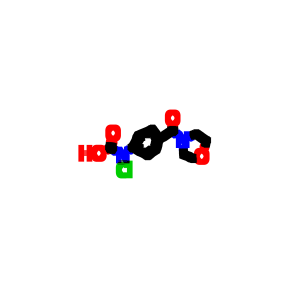 O=C(c1ccc(N(Cl)C(=O)O)cc1)N1CCOCC1